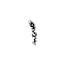 COCCCC1CCN(CCC(C)(C)c2ccc(Cl)cc2)CC1